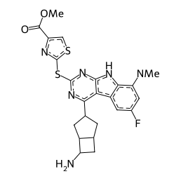 CNc1cc(F)cc2c1[nH]c1nc(Sc3nc(C(=O)OC)cs3)nc(C3CC4CC(N)C4C3)c12